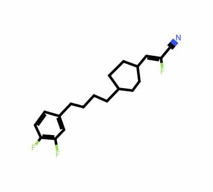 N#CC(F)=CC1CCC(CCCCc2ccc(F)c(F)c2)CC1